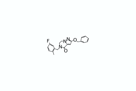 Cc1ccc(F)cc1CN1CCn2nc(OCc3ccccc3)cc2C1=O